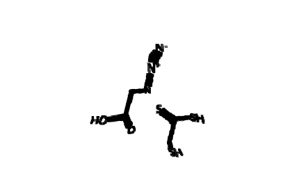 S=C(S)S.[N-]=[N+]=NCC(=O)O